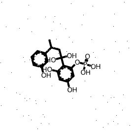 CC(CC(O)(O)c1c(O)cc(O)cc1OP(=O)(O)O)c1cccc(O)c1